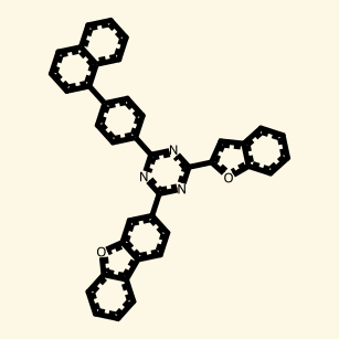 c1ccc2oc(-c3nc(-c4ccc(-c5cccc6ccccc56)cc4)nc(-c4ccc5c(c4)oc4ccccc45)n3)cc2c1